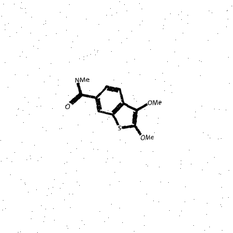 CNC(=O)c1ccc2c(OC)c(OC)sc2c1